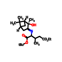 CCOC(=O)CC(C)C(/N=C1\C[C@H]2C[C@H](C2(C)C)[C@@]1(C)O)C(=O)OC(C)(C)C